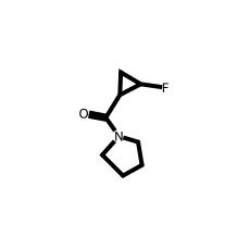 O=C(C1CC1F)N1CCCC1